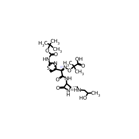 CC(O)CNC[C@@H]1NC(=O)C1NC(=O)/C(=N\OC(C)(C)C(=O)O)c1csc(NC(=O)OC(C)(C)C)n1